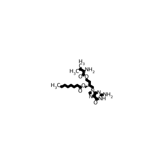 CCCCCCCC(=O)OC[C@H](CCOC(=O)[C@@H](N)C(C)C)Cn1cnc2c(=O)[nH]c(N)nc21